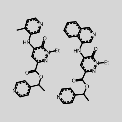 CCn1nc(C(=O)OC(C)c2ccncc2)cc(Nc2cncc3ccccc23)c1=O.CCn1nc(C(=O)OC(C)c2ccncc2)cc(Nc2cnccc2C)c1=O